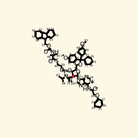 COc1ccc(C(OCC2OC(n3cnc4c(NC(=O)COc5ccccc5)ncnc43)C(OC)C2OP(OCCSC(=O)C(C)(C)NC(=O)OCC2c3ccccc3-c3ccccc32)N(C(C)C)C(C)C)(c2ccccc2)c2ccc(OC)cc2)cc1